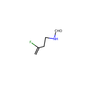 C=C(F)CCNC=O